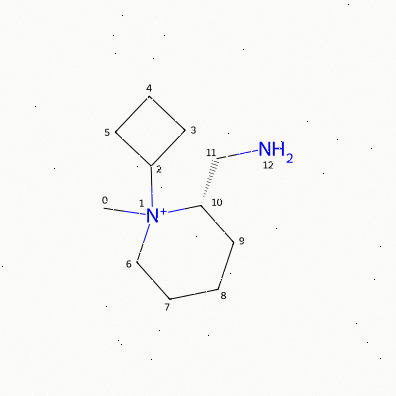 C[N+]1(C2CCC2)CCCC[C@H]1CN